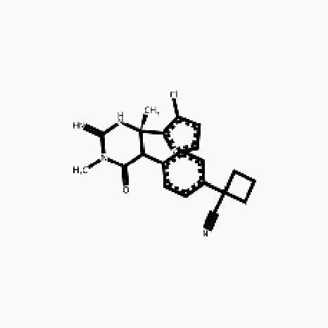 CN1C(=N)N[C@](C)(c2sccc2Cl)C(c2ccc(C3(C#N)CCC3)cc2)C1=O